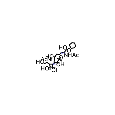 CC(=O)N/C(=C\C(CCO)OC(C)(C)C(O)/C(NC(C)=O)=C1/C(CCO)C(C)(O)C1(C)O)C(O)OC1CCCCC1